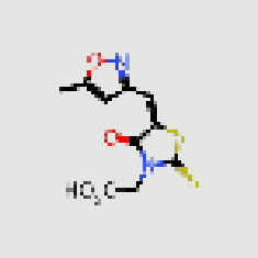 Cc1cc(C=C2SC(=S)N(CC(=O)O)C2=O)no1